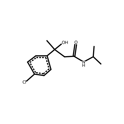 CC(C)NC(=O)CC(C)(O)c1ccc(Cl)cc1